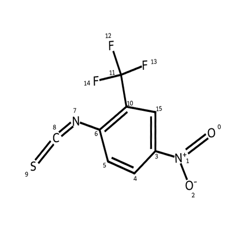 O=[N+]([O-])c1ccc(N=C=S)c(C(F)(F)F)c1